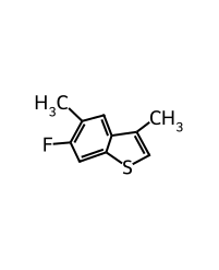 Cc1cc2c(C)csc2cc1F